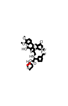 COc1ccc([C@H](Cc2c(Cl)c[n+]([O-])cc2Cl)c2cc(CNC(C(=O)O[C@H]3CN4CCC3CC4)c3cccc(C(F)F)c3)sc2C(=O)O)cc1OC